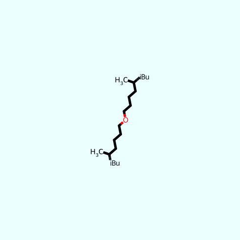 CCC(C)C(C)CCCCOCCCCC(C)C(C)CC